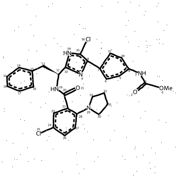 COC(=O)Nc1ccc(-c2nc([C@H](Cc3ccccc3)NC(=O)c3cc(Cl)ccc3N3CCCC3)[nH]c2Cl)cc1